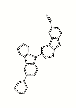 N#Cc1ccc2sc3ccc(-n4c5ccccc5c5cc(-c6ccccc6)ccc54)cc3c2c1